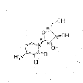 Nc1ccn([C@H]2O[C@H](CO)[C@@H](O)[C@H]2O)c(=O)c1Cl